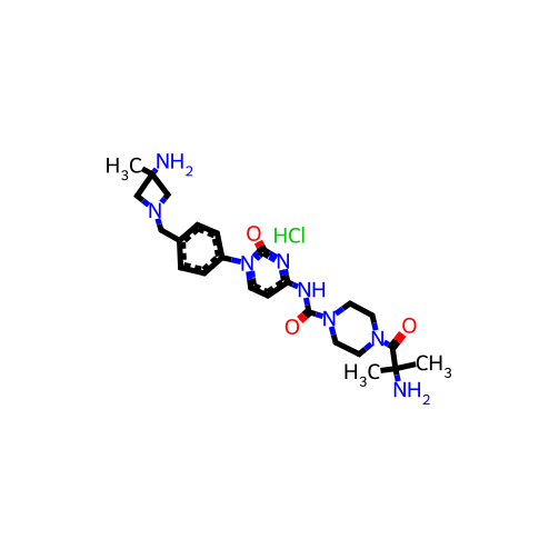 CC1(N)CN(Cc2ccc(-n3ccc(NC(=O)N4CCN(C(=O)C(C)(C)N)CC4)nc3=O)cc2)C1.Cl